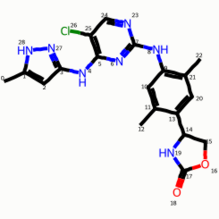 Cc1cc(Nc2nc(Nc3cc(C)c(C4COC(=O)N4)cc3C)ncc2Cl)n[nH]1